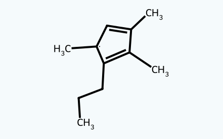 CCCC1=C(C)C(C)=C[C]1C